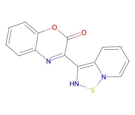 O=c1oc2ccccc2nc1C1=C2C=[C]C=CN2SN1